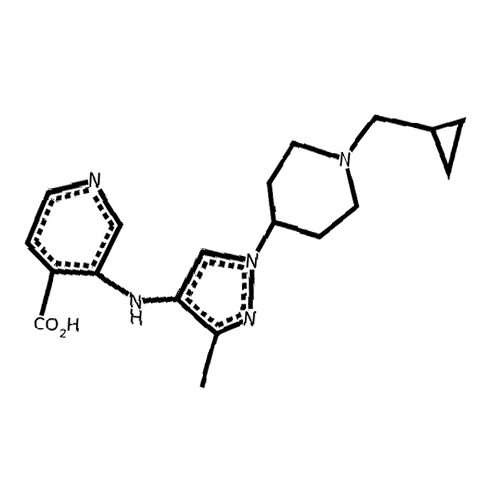 Cc1nn(C2CCN(CC3CC3)CC2)cc1Nc1cnccc1C(=O)O